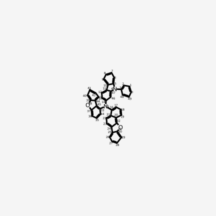 c1ccc(-n2c3ccccc3c3ccc(N(c4cccc5c4ccc4c6ccccc6oc54)c4cccc5oc6ccccc6c45)cc32)cc1